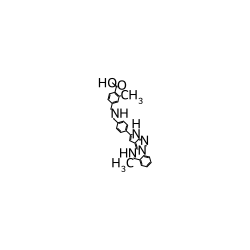 Cc1cc(CNCc2ccc(-c3cc4c(N[C@H](C)c5ccccc5)ncnc4[nH]3)cc2)ccc1C(=O)O